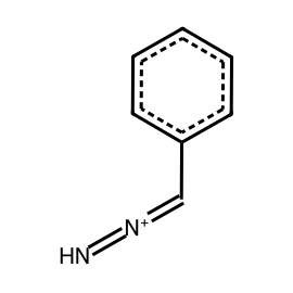 N=[N+]=Cc1ccccc1